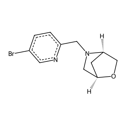 Brc1ccc(CN2C[C@H]3C[C@@H]2CO3)nc1